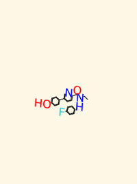 CCNC(=O)c1ccc(-c2ccc(O)cc2)cn1.Fc1ccccc1